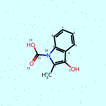 Cc1c(O)c2[c]cccc2n1C(=O)O